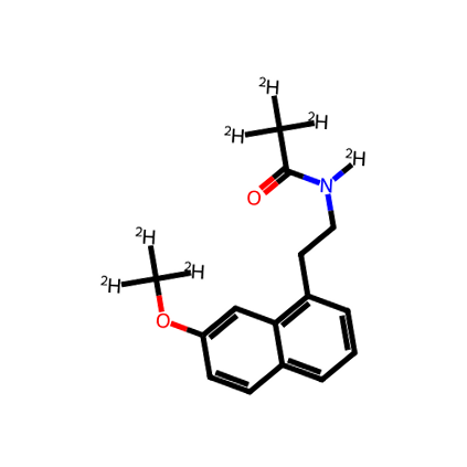 [2H]N(CCc1cccc2ccc(OC([2H])([2H])[2H])cc12)C(=O)C([2H])([2H])[2H]